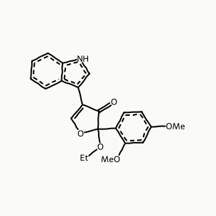 CCOC1(c2ccc(OC)cc2OC)OC=C(c2c[nH]c3ccccc23)C1=O